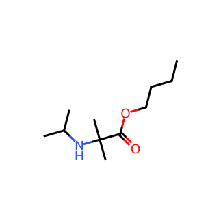 CCCCOC(=O)C(C)(C)NC(C)C